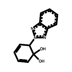 OC1(O)C=CC=CC1n1nc2ccccc2n1